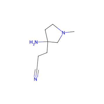 CN1CCC(N)(CCC#N)C1